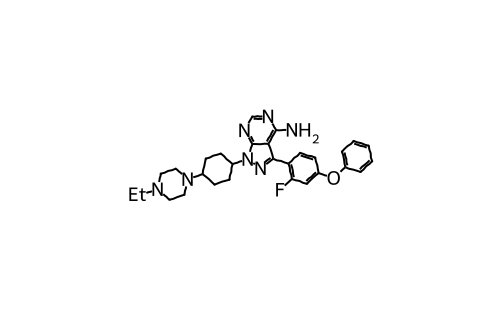 CCN1CCN(C2CCC(n3nc(-c4ccc(Oc5ccccc5)cc4F)c4c(N)ncnc43)CC2)CC1